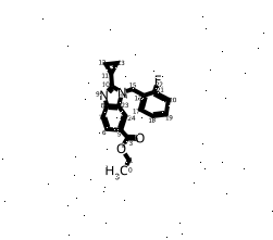 CCOC(=O)c1ccc2nc(C3CC3)n(Cc3ccccc3F)c2c1